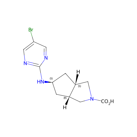 O=C(O)N1C[C@H]2C[C@H](Nc3ncc(Br)cn3)C[C@H]2C1